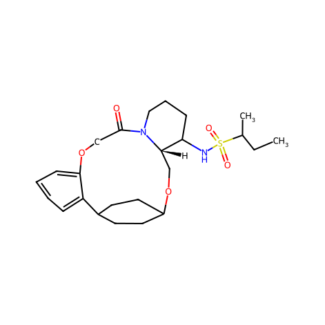 CCC(C)S(=O)(=O)NC1CCCN2C(=O)COc3ccccc3C3CCC(CC3)OC[C@@H]12